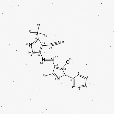 Cc1nn(-c2ccccc2)c(O)c1/N=N/c1[nH]nc(C(C)(C)C)c1C#N